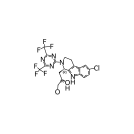 COC[C@H](O)C[C@@H]1c2[nH]c3ccc(Cl)cc3c2CCN1c1nc(C(F)(F)F)nc(C(F)(F)F)n1